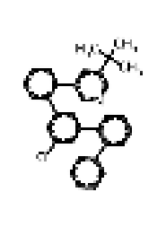 CC(C)(C)c1cncc(-c2ccccc2-c2cc(Cl)cc(-c3ccccc3-c3ccccc3)c2)c1